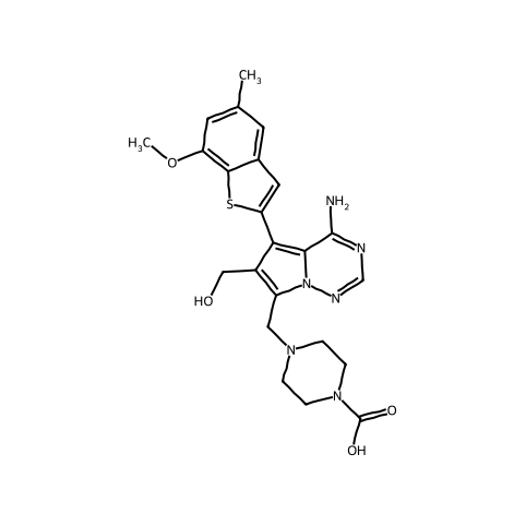 COc1cc(C)cc2cc(-c3c(CO)c(CN4CCN(C(=O)O)CC4)n4ncnc(N)c34)sc12